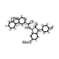 COc1ccc2c(c1)C(NC(=O)c1cc3c(cn1)[nH]c1ccccc13)C(=O)N2c1ccc(F)cc1